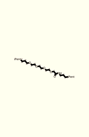 CCCC(C)CCCNC(=O)COCCOCCOCCOCCCC(C)CCC